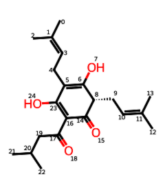 CC(C)=CCC1=C(O)[C@H](CC=C(C)C)C(=O)C(C(=O)CC(C)C)=C1O